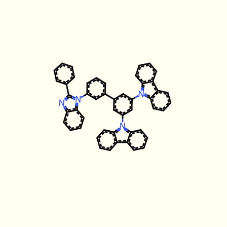 c1ccc(-c2nc3ccccc3n2-c2cccc(-c3cc(-n4c5ccccc5c5ccccc54)cc(-n4c5ccccc5c5ccccc54)c3)c2)cc1